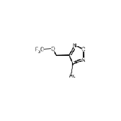 CC(=O)c1nonc1COC(F)(F)F